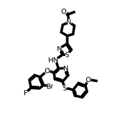 COc1cccc(Sc2cnc(Nc3nc(C4CCN(C(C)=O)CC4)cs3)c(Oc3ccc(F)cc3Br)c2)c1